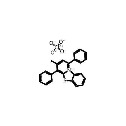 Cc1cc(-c2ccccc2)[n+]2c(sc3ccccc32)c1-c1ccccc1.[O-][Cl+3]([O-])([O-])[O-]